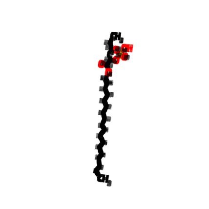 CCCCCCCCCCCCCCCCC=COC(=O)C(CCCC)OS(=O)(=O)O